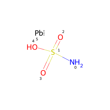 NS(=O)(=O)O.[Pb]